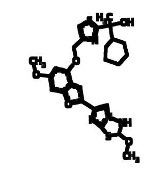 COc1cc(OCc2csc(C(C)(O)C3CCCCC3)n2)c2cc(-c3cn4c(n3)SC(OC)N4)oc2c1